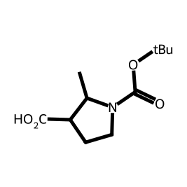 CC1C(C(=O)O)CCN1C(=O)OC(C)(C)C